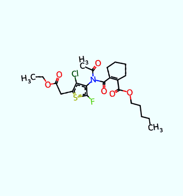 CCCCCOC(=O)C1=C(C(=O)N(C(C)=O)c2c(F)sc(CC(=O)OCC)c2Cl)CCCC1